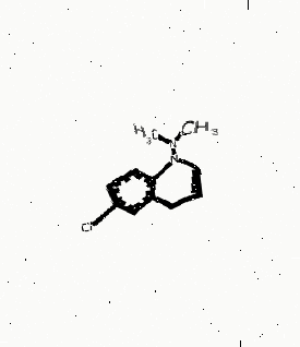 CN(C)N1C=CCc2cc(Cl)ccc21